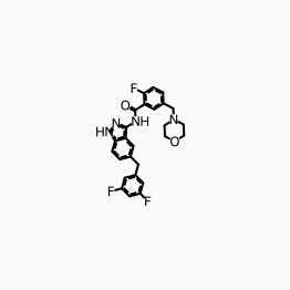 O=C(Nc1n[nH]c2ccc(Cc3cc(F)cc(F)c3)cc12)c1cc(CN2CCOCC2)ccc1F